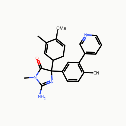 COC1=CCC(C2(c3ccc(C#N)c(-c4cccnc4)c3)N=C(N)N(C)C2=O)C=C1C